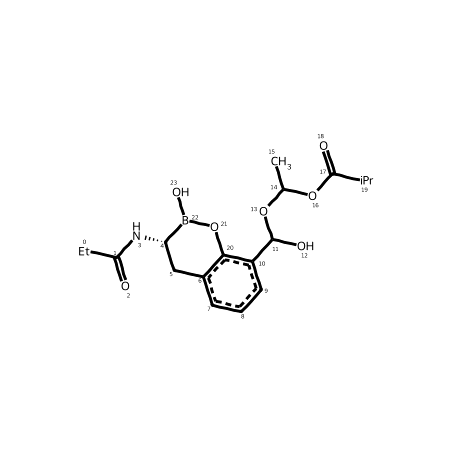 CCC(=O)N[C@H]1Cc2cccc(C(O)OC(C)OC(=O)C(C)C)c2OB1O